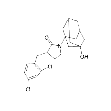 O=C1C(Cc2ccc(Cl)cc2Cl)CCN1C12CC3CC(CC(O)(C3)C1)C2